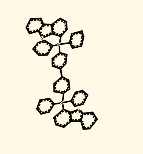 c1ccc([Si](c2ccccc2)(c2ccc(-c3ccc([Si](c4ccccc4)(c4ccccc4)c4cccc5c4sc4ccccc45)cc3)cc2)c2cccc3c2sc2ccccc23)cc1